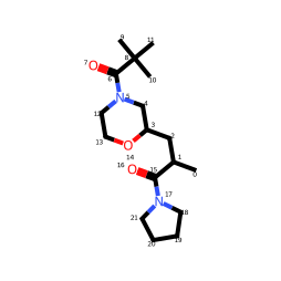 CC(CC1CN(C(=O)C(C)(C)C)CCO1)C(=O)N1CCCC1